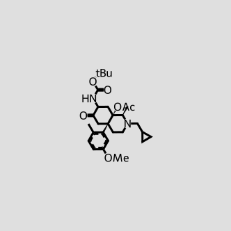 COc1ccc(C)c([C@]23CCN(CC4CC4)[C@H](C)[C@]2(OC(C)=O)CC(NC(=O)OC(C)(C)C)C(=O)C3)c1